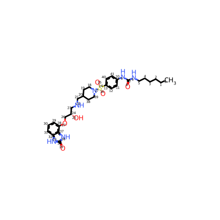 CCCCCCNC(=O)Nc1ccc(S(=O)(=O)N2CCC(CNC[C@H](O)COc3cccc4[nH]c(=O)[nH]c34)CC2)cc1